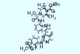 CC(C(=O)Nc1cccc2c(-c3nc(Nc4cccc(S(C)(=O)=O)c4F)ncc3F)c[nH]c12)N1C[C@H](C)N(C(=O)OC(C)(C)C)[C@@H](C)C1